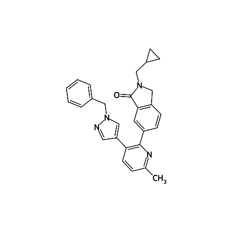 Cc1ccc(-c2cnn(Cc3ccccc3)c2)c(-c2ccc3c(c2)C(=O)N(CC2CC2)C3)n1